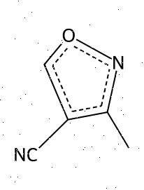 Cc1nocc1C#N